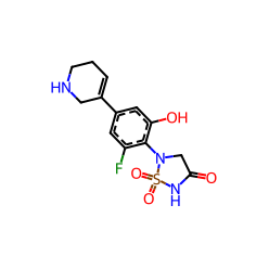 O=C1CN(c2c(O)cc(C3=CCCNC3)cc2F)S(=O)(=O)N1